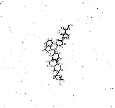 CCOC(=O)c1cnn(-c2cccc(-c3cccc4c3N(Cc3ccc(C5CCN(C(=O)OC(C)(C)C)CC5)c(CC)c3)CC4)n2)c1C